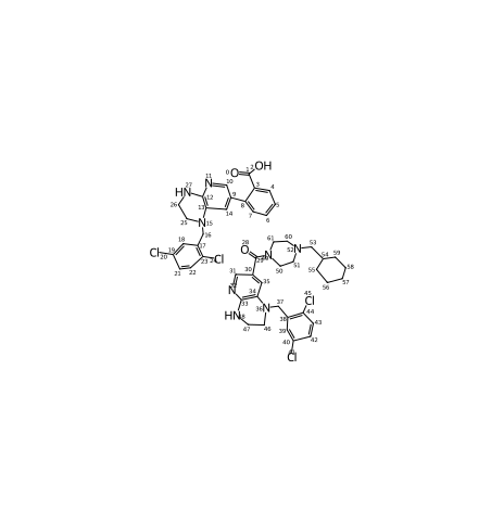 O=C(O)c1ccccc1-c1cnc2c(c1)N(Cc1cc(Cl)ccc1Cl)CCN2.O=C(c1cnc2c(c1)N(Cc1cc(Cl)ccc1Cl)CCN2)N1CCN(CC2CCCCC2)CC1